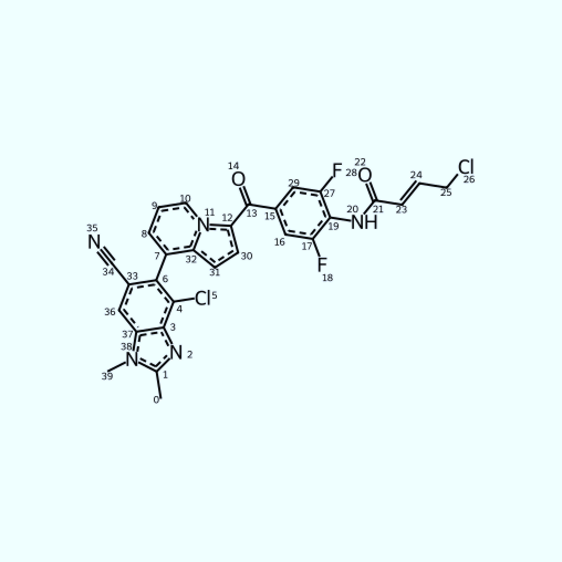 Cc1nc2c(Cl)c(-c3cccn4c(C(=O)c5cc(F)c(NC(=O)/C=C/CCl)c(F)c5)ccc34)c(C#N)cc2n1C